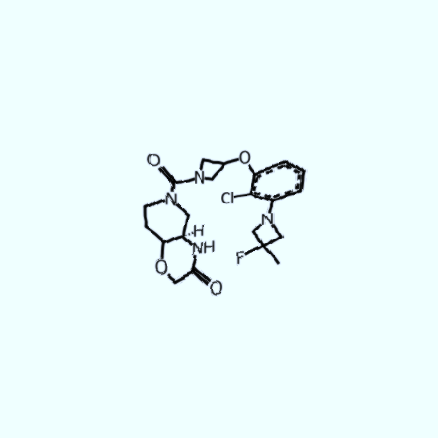 CC1(F)CN(c2cccc(OC3CN(C(=O)N4CCC5OCC(=O)N[C@@H]5C4)C3)c2Cl)C1